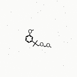 COCOCC(C)(C)c1cccc(OC)c1